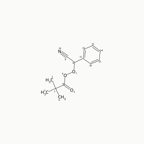 CC(C)(C)C(=O)OOC(C#N)c1ccccc1